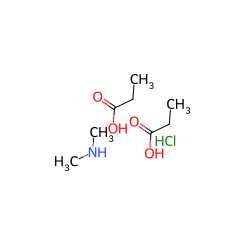 CCC(=O)O.CCC(=O)O.CNC.Cl